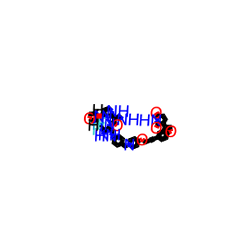 N=C/C(C(=O)N/C(=C/NC1CCC(CN2CCC(OCC#Cc3ccc4occ(C5CCC(=O)NC5=O)c4c3)CC2)CC1)C(=N)C(F)F)=C1/N=C(N2C[C@H]3C[C@@H]2CO3)C=CN1